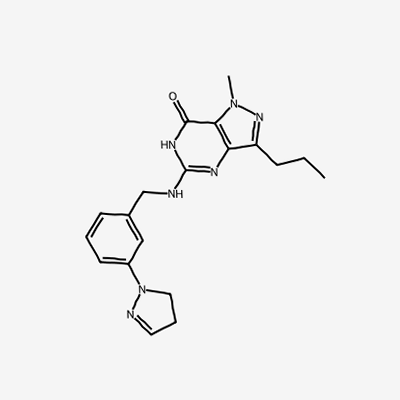 CCCc1nn(C)c2c(=O)[nH]c(NCc3cccc(N4CCC=N4)c3)nc12